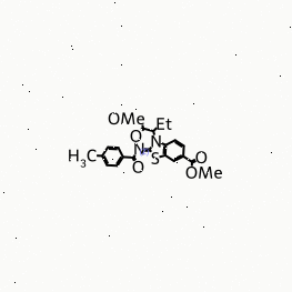 CCC(C(=O)OC)n1/c(=N/C(=O)c2ccc(C)cc2)sc2cc(C(=O)OC)ccc21